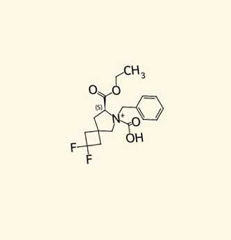 CCOC(=O)[C@@H]1CC2(CC(F)(F)C2)C[N+]1(Cc1ccccc1)C(=O)O